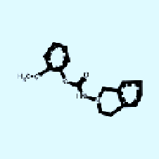 COc1ccccc1OC(=O)NN1CCc2ccccc2C1